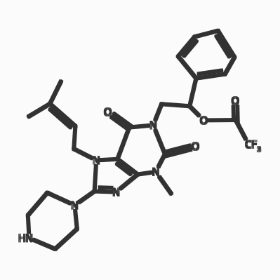 CC(C)=CCn1c(N2CCNCC2)nc2c1c(=O)n(CC(OC(=O)C(F)(F)F)c1ccccc1)c(=O)n2C